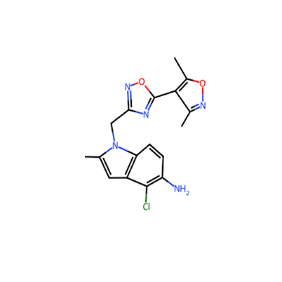 Cc1noc(C)c1-c1nc(Cn2c(C)cc3c(Cl)c(N)ccc32)no1